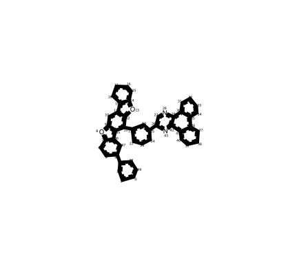 c1ccc(-c2ccc3oc4cc5c(oc6ccccc65)c(-c5cccc(-c6cnc7c8ccccc8c8ccccc8c7n6)c5)c4c3c2)cc1